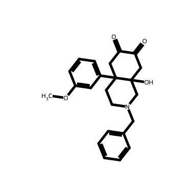 COc1cccc(C23CCN(Cc4ccccc4)CC2(O)CC(=O)C(=O)C3)c1